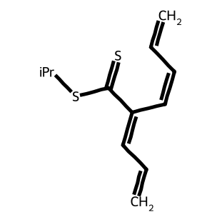 C=C/C=C\C(=C/C=C)C(=S)SC(C)C